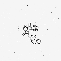 CCCC(C)(C)C(Nc1cc(C(=O)NCC(O)CN2CCc3ccccc3C2)ccn1)C(C)(C)C